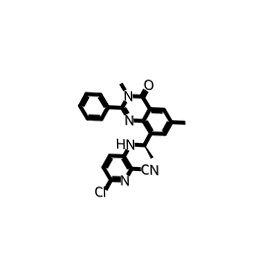 Cc1cc([C@@H](C)Nc2ccc(Cl)nc2C#N)c2nc(-c3ccccc3)n(C)c(=O)c2c1